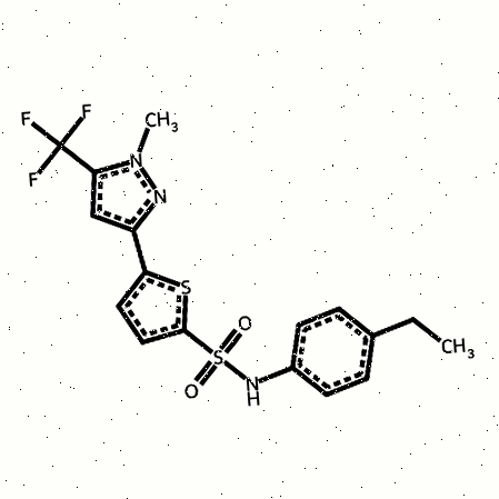 CCc1ccc(NS(=O)(=O)c2ccc(-c3cc(C(F)(F)F)n(C)n3)s2)cc1